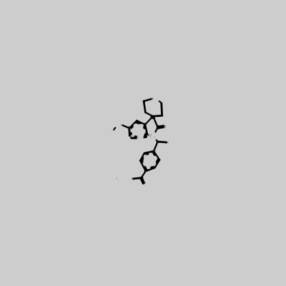 COC(=O)c1ccc(C(C)NC(=O)C2(c3cccc(OC(C)C)c3)CCOCC2)cc1